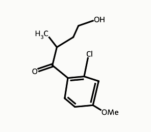 COc1ccc(C(=O)C(C)CCO)c(Cl)c1